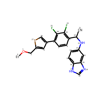 CCOCc1cc(-c2ccc(C(C#N)Nc3ccc4[nH]cnc4c3)c(F)c2F)cs1